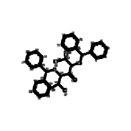 O=C(C(OC(c1ccccc1)c1ccccc1)C(Cl)Cl)C(OC(c1ccccc1)c1ccccc1)C(Cl)Cl